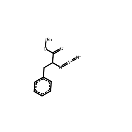 CC(C)(C)OC(=O)C(Cc1ccccc1)N=[N+]=[N-]